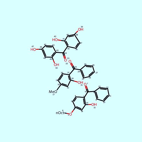 CCCCCCCCOc1ccc(C(=O)c2ccccc2)c(O)c1.COc1ccc(C(=O)c2ccccc2)c(O)c1.O=C(c1ccc(O)cc1O)c1ccc(O)cc1O